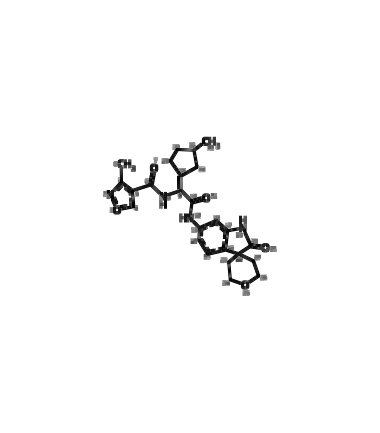 Cc1nocc1C(=O)NC(C(=O)Nc1ccc2c(c1)NC(=O)C21CCOCC1)=C1CCC(C)C1